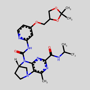 Cc1nc(C(=O)NC(C)C(F)(F)F)nc2c1N1CC[C@@H](C1)N2C(=O)Nc1cc(OCC2COC(C)(C)O2)ccn1